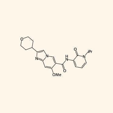 COc1cc2nc(C3CCOCC3)cn2cc1C(=O)Nc1cccn(C(C)C)c1=O